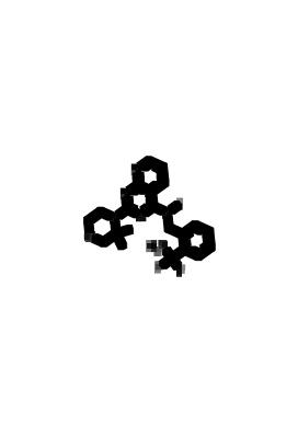 CC1(C)COCCN1c1nc(N(I)Cc2ccccc2C(F)(F)P)c2cccnc2n1